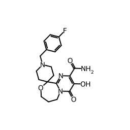 NC(=O)c1nc2n(c(=O)c1O)CCCOC21CCN(Cc2ccc(F)cc2)CC1